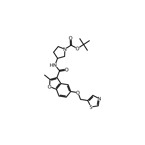 Cc1oc2ccc(OCc3cncs3)cc2c1C(=O)NC1CCN(C(=O)OC(C)(C)C)C1